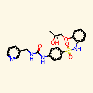 C[C@H](O)COc1ccccc1NS(=O)(=O)c1ccc(NC(=O)NCc2cccnc2)cc1